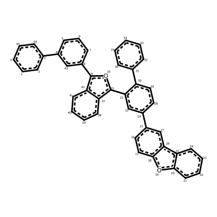 c1ccc(-c2cccc(-c3oc(-c4cc(-c5ccc6oc7ccccc7c6c5)ccc4-c4ccccc4)c4ccccc34)c2)cc1